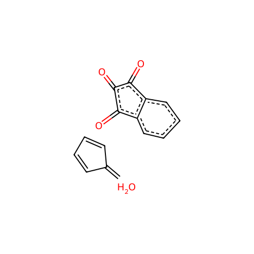 C=C1C=CC=C1.O.O=c1c(=O)c2ccccc2c1=O